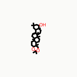 CC1(C)CC(O)C2(C)CCC3(C)C(=CCC4C5(C)CCC6OC(C)(C)OCC6(C)C5CCC43C)C2C1